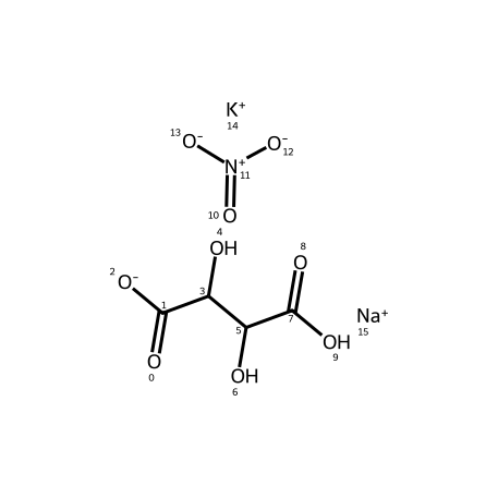 O=C([O-])C(O)C(O)C(=O)O.O=[N+]([O-])[O-].[K+].[Na+]